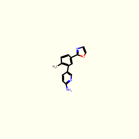 Cc1ccc(-c2ncco2)cc1-c1ccc(N)nc1